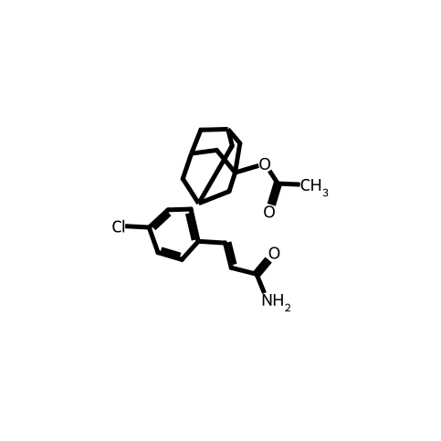 CC(=O)OC12CC3CC(CC(C3)C1)C2.NC(=O)C=Cc1ccc(Cl)cc1